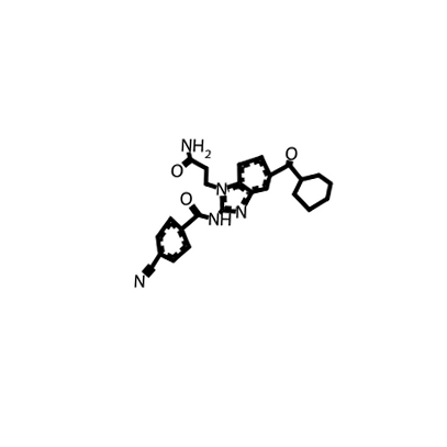 N#Cc1ccc(C(=O)Nc2nc3cc(C(=O)C4CCCCC4)ccc3n2CCC(N)=O)cc1